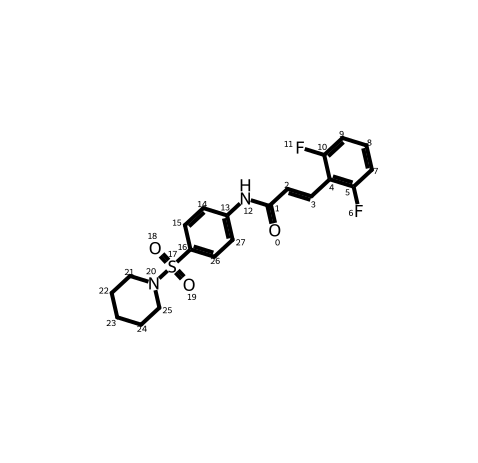 O=C(C=Cc1c(F)cccc1F)Nc1ccc(S(=O)(=O)N2CCCCC2)cc1